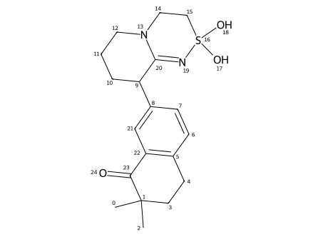 CC1(C)CCc2ccc(C3CCCN4CCS(O)(O)N=C34)cc2C1=O